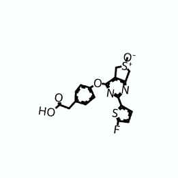 O=C(O)Cc1ccc(Oc2nc(-c3ccc(F)s3)nc3c2C[S+]([O-])C3)cc1